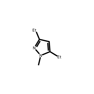 [CH2]Cc1cc(CC)nn1C